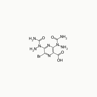 NC(=O)N(N)c1nc(N(N)C(N)=O)c(C(=O)O)nc1Br